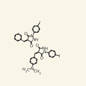 CN(C)c1ccc(/C=C2/C(=O)NN(c3ccc(I)cc3)C2=O)cc1.O=C1NN(c2ccc(I)cc2)C(=O)/C1=C\c1ccccc1